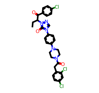 CCC(C(=O)c1ccc(Cl)cc1)n1ncn(-c2ccc(N3CCN(C(=O)Cc4ccc(Cl)cc4Cl)CC3)cc2)c1=O